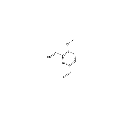 CNc1ccc(C=O)nc1C=N